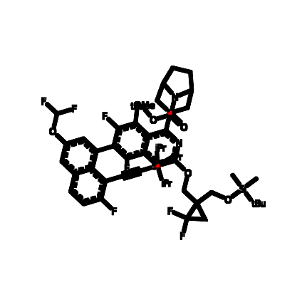 COc1c(F)c(-c2cc(OC(F)F)cc3ccc(F)c(C#C[Si](C(C)C)(C(C)C)C(C)C)c23)c(F)c2nc(OCC3(CO[Si](C)(C)C(C)(C)C)CC3(F)F)nc(N3CC4CCC(C3)N4C(=O)OC(C)(C)C)c12